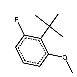 COc1cccc(F)c1C(C)(C)C